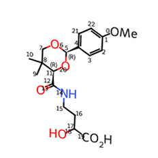 COc1ccc([C@@H]2OCC(C)(C)[C@H](C(=O)NCCC(O)C(=O)O)O2)cc1